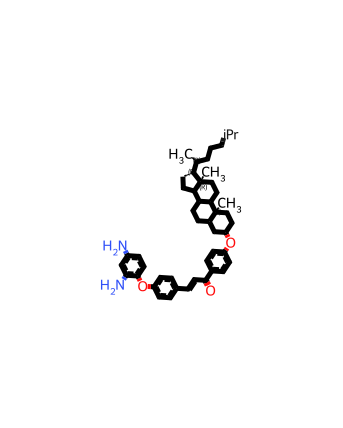 CC(C)CCC[C@@H](C)[C@H]1CCC2C3CCC4CC(Oc5ccc(C(=O)C=Cc6ccc(Oc7ccc(N)cc7N)cc6)cc5)CC[C@]4(C)C3CC[C@@]21C